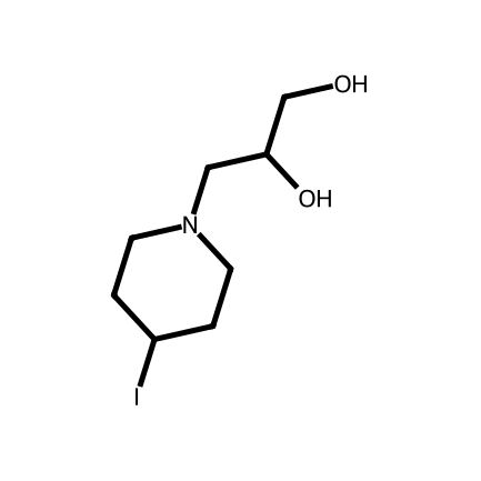 OCC(O)CN1CCC(I)CC1